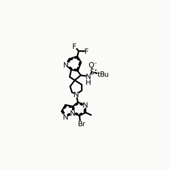 Cc1nc(N2CCC3(CC2)Cc2ncc(C(F)F)cc2C3N[S+]([O-])C(C)(C)C)c2ccnn2c1Br